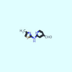 Cc1csc(Nc2cc(C=O)ccn2)n1